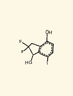 Oc1ccc(I)c2c1CC(F)(F)C2O